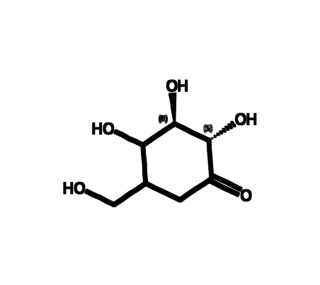 O=C1CC(CO)C(O)[C@@H](O)[C@@H]1O